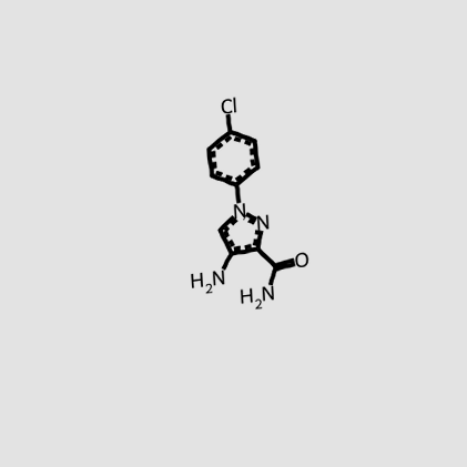 NC(=O)c1nn(-c2ccc(Cl)cc2)cc1N